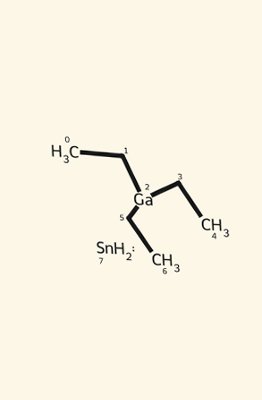 C[CH2][Ga]([CH2]C)[CH2]C.[SnH2]